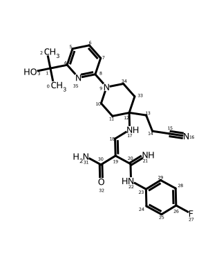 CC(C)(O)c1cccc(N2CCC(CCC#N)(N/C=C(\C(=N)Nc3ccc(F)cc3)C(N)=O)CC2)n1